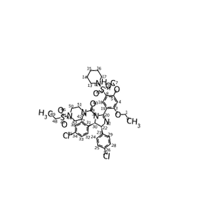 CCOc1cc(OC)c(S(=O)(=O)N2CCCCC2)cc1C1=N[C@@H](c2ccc(Cl)cc2)[C@@H](c2ccc(Cl)cc2)N1C(=O)N1CCN(S(=O)(=O)CC)CC1